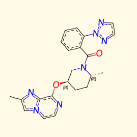 Cc1cn2ccnc(O[C@@H]3CC[C@@H](C)N(C(=O)c4ccccc4-n4nccn4)C3)c2n1